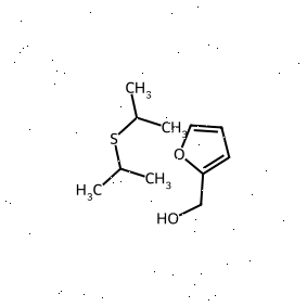 CC(C)SC(C)C.OCc1ccco1